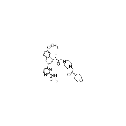 CNc1nccc(-c2cc(NC(=O)CN3CCN(CC(=O)N4CCOCC4)CC3)c3cc(OC)ccc3c2)n1